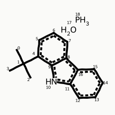 CC(C)(C)c1cccc2c1[nH]c1ccccc12.O.P